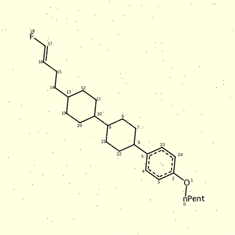 CCCCCOc1ccc(C2CCC(C3CCC(CCC=CF)CC3)CC2)cc1